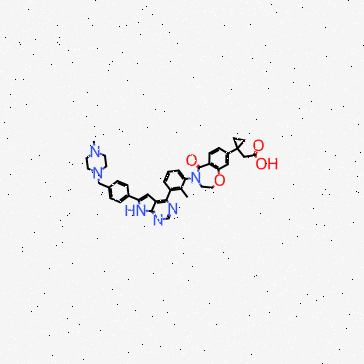 Cc1c(-c2ncnc3[nH]c(-c4ccc(CN5CCN(C)CC5)cc4)cc23)cccc1N1CCOc2cc(C3(CC(=O)O)CC3)ccc2C1=O